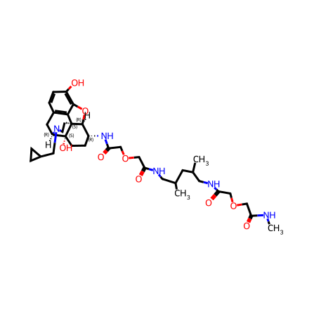 CNC(=O)COCC(=O)NCC(C)CC(C)CNC(=O)COCC(=O)N[C@@H]1CC[C@@]2(O)[C@H]3Cc4ccc(O)c5c4[C@@]2(CCN3CC2CC2)[C@H]1O5